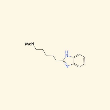 CNCCCCCc1nc2ccccc2[nH]1